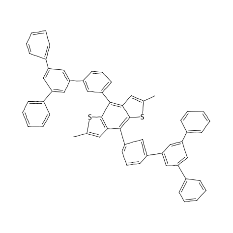 Cc1cc2c(-c3cccc(-c4cc(-c5ccccc5)cc(-c5ccccc5)c4)c3)c3sc(C)cc3c(-c3cccc(-c4cc(-c5ccccc5)cc(-c5ccccc5)c4)c3)c2s1